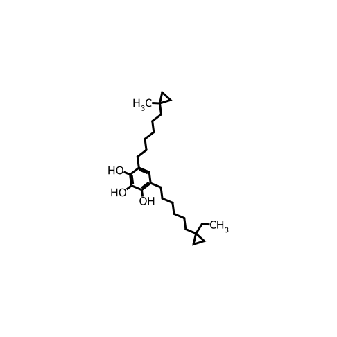 CCC1(CCCCCCc2cc(CCCCCCC3(C)CC3)c(O)c(O)c2O)CC1